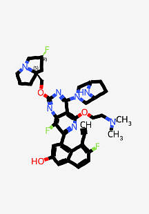 C#Cc1c(F)ccc2cc(O)cc(-c3nc(OCCN(C)C)c4c(N5CC6CCC(C5)N6)nc(OC[C@@]56CCCN5C[C@H](F)C6)nc4c3F)c12